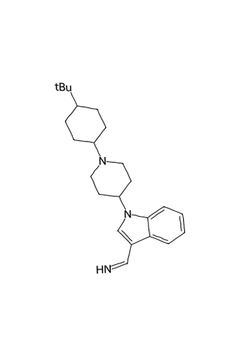 CC(C)(C)C1CCC(N2CCC(n3cc(C=N)c4ccccc43)CC2)CC1